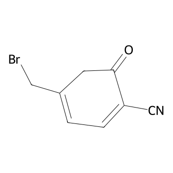 N#CC1=CC=C(CBr)CC1=O